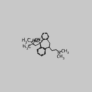 CN(C)CCC1Cc2ccccc2C(O)(C[Si](C)(C)C)c2ccccc21